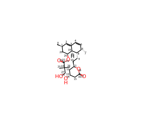 C[C@H]1C=C2C=C[C@H](C)[C@H](CC[C@@H]3C[C@@H](O)CC(=O)O3)[C@H]2[C@@H](OC(=O)C(C)(C)CO)C1